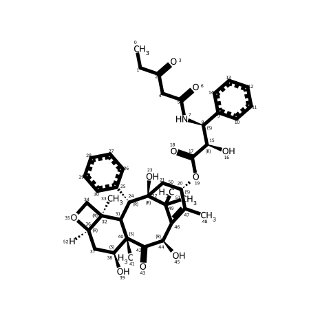 CCC(=O)CC(=O)N[C@@H](c1ccccc1)[C@@H](O)C(=O)O[C@H]1C[C@@]2(O)[C@@H](c3ccccc3)C3[C@]4(C)CO[C@@H]4C[C@H](O)[C@@]3(C)C(=O)[C@H](O)C(=C1C)C2(C)C